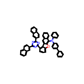 c1ccc(-c2ccc(N(c3ccccc3)c3c4ccccc4cc4c3oc3cccc(-c5nc(-c6ccc7ccccc7c6)nc(-c6ccc7ccccc7c6)n5)c34)cc2)cc1